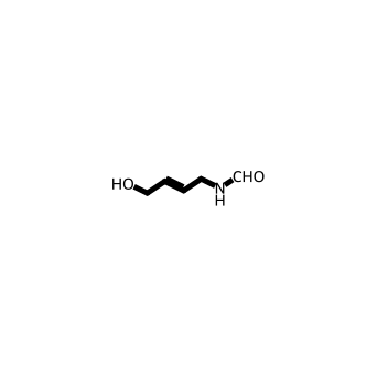 O=CNC/C=C/CO